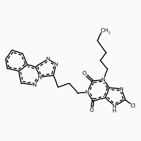 CCCCCn1c(=O)n(CCCc2nnc3c4ccccc4cnn23)c(=O)c2[nH]c(Cl)nc21